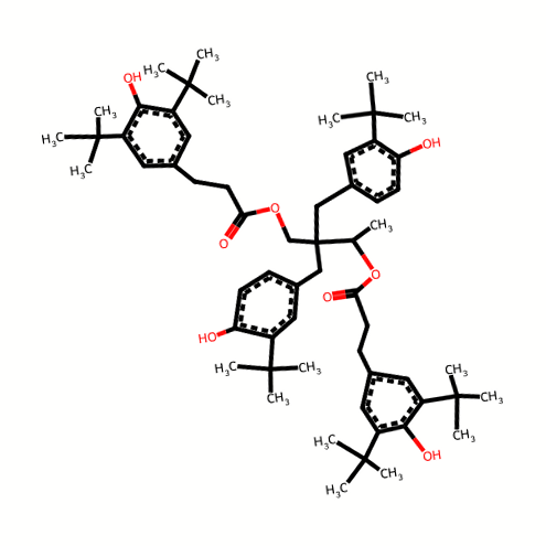 CC(OC(=O)CCc1cc(C(C)(C)C)c(O)c(C(C)(C)C)c1)C(COC(=O)CCc1cc(C(C)(C)C)c(O)c(C(C)(C)C)c1)(Cc1ccc(O)c(C(C)(C)C)c1)Cc1ccc(O)c(C(C)(C)C)c1